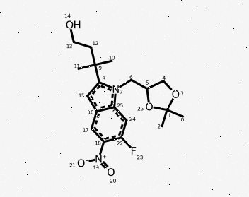 CC1(C)OCC(Cn2c(C(C)(C)CCO)cc3cc([N+](=O)[O-])c(F)cc32)O1